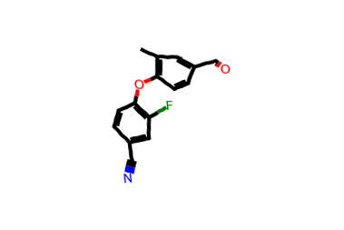 Cc1[c]c(C=O)ccc1Oc1ccc(C#N)cc1F